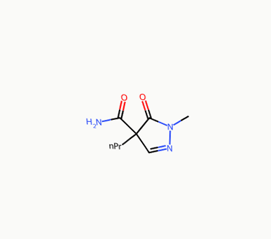 CCCC1(C(N)=O)C=NN(C)C1=O